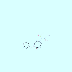 COC(=O)C(c1ccc(Oc2ccccc2)c(=O)c(C)c1)S(=O)O